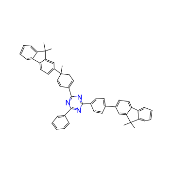 CC1(c2ccc3c(c2)C(C)(C)c2ccccc2-3)C=CC(c2nc(-c3ccccc3)nc(-c3ccc(-c4ccc5c(c4)C(C)(C)c4ccccc4-5)cc3)n2)=CC1